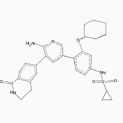 Nc1ncc(-c2ccc(NS(=O)(=O)C3CC3)cc2OC2CCCCC2)cc1-c1ccc2c(c1)CCNC2=O